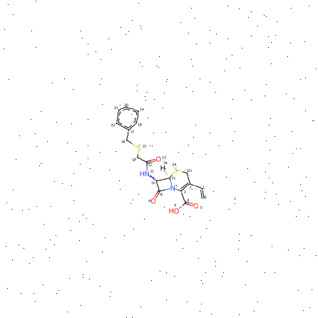 C=CC1=C(C(=O)O)N2C(=O)[C@@H](NC(=O)CSCc3ccccc3)[C@H]2SC1